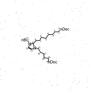 CCCCCCCCCCCCCCCCCCC1N(CCCC)C=CN1CCCCCCCCCCCCCCC